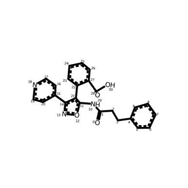 O=C(CCc1ccccc1)Nc1onc(-c2ccncc2)c1-c1ccccc1C(=O)O